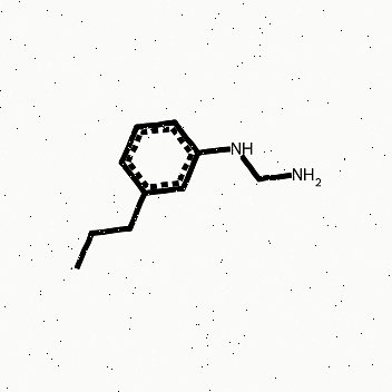 [CH2]CCc1cccc(NCN)c1